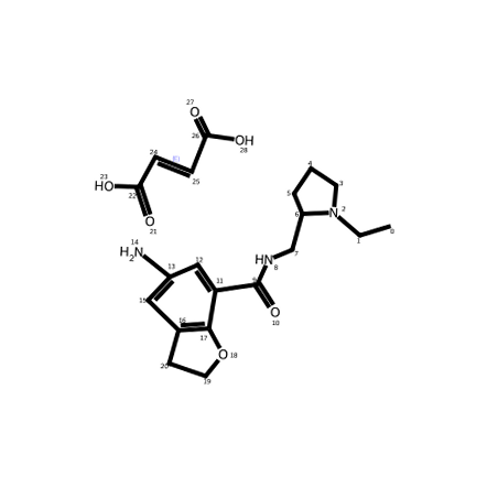 CCN1CCCC1CNC(=O)c1cc(N)cc2c1OCC2.O=C(O)/C=C/C(=O)O